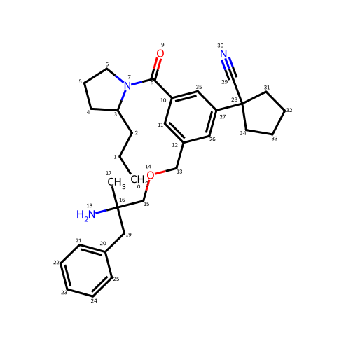 CCCC1CCCN1C(=O)c1cc(COCC(C)(N)Cc2ccccc2)cc(C2(C#N)CCCC2)c1